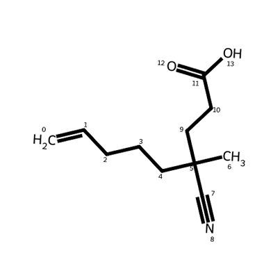 C=CCCCC(C)(C#N)CCC(=O)O